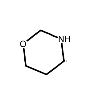 [CH]1CCOCN1